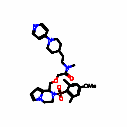 COc1cc(C)c(S(=O)(=O)N2CCn3cccc3C2COCC(=O)N(C)CCC2CCN(c3ccncc3)CC2)c(C)c1